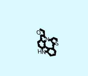 c1cc2[nH]c3ccc4c5occc5n5c6ccsc6c(c1)c2c3c45